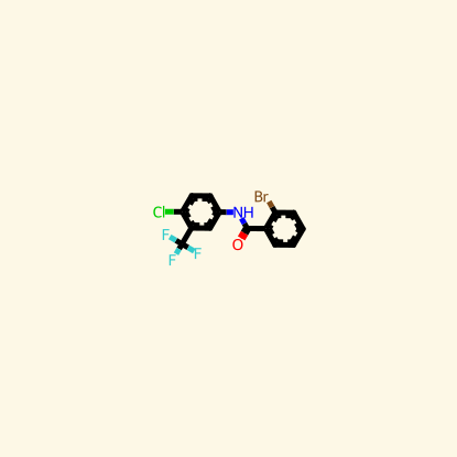 O=C(Nc1ccc(Cl)c(C(F)(F)F)c1)c1ccccc1Br